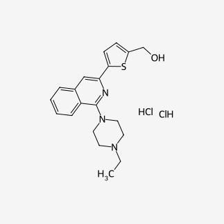 CCN1CCN(c2nc(-c3ccc(CO)s3)cc3ccccc23)CC1.Cl.Cl